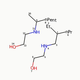 CCCC(CC)CNCCO.CCCCCC(C)NCCO